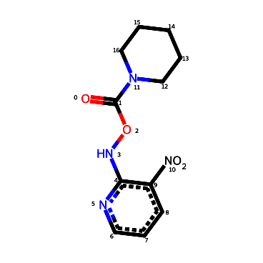 O=C(ONc1ncccc1[N+](=O)[O-])N1CCCCC1